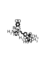 CC(C)[C@@H](C(=O)N1CCC(CCn2c(Sc3cc4c(cc3Br)OCO4)nc3c(N)ncnc32)CC1)N(C(=O)O)C(C)(C)C